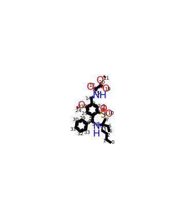 CCCC[C@]1(CC)CS(=O)(=O)c2cc(CNC(=O)C(=O)OC)c(OC)cc2[C@@H](c2ccccc2)N1